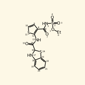 CCOS(=O)(=O)NC(=O)c1ccsc1NC(=O)C1Nc2ccccc2S1